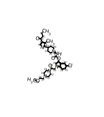 CCCC(=O)c1cnn(C2CCN(NC(=O)Oc3cn(CC(=O)N4CCN(CCOC)CC4)c4ccc(Cl)cc34)CC2)c1C